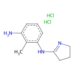 Cc1c(N)cccc1NC1=NCCC1.Cl.Cl